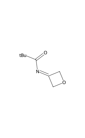 CC(C)(C)C(=O)N=C1COC1